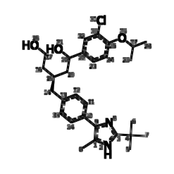 Cc1[nH]c(C(C)(C)C)nc1-c1ccc(C[C@@H](CCO)CC(O)c2ccc(OC(C)C)c(Cl)c2)cc1